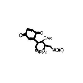 CCCC(C)CC(C1=CC(=O)C=CC1=O)C(OC)C(CN=C=O)OC